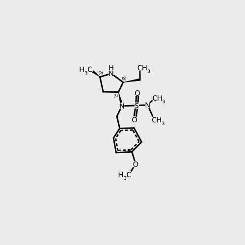 CC[C@@H]1N[C@H](C)C[C@@H]1N(Cc1ccc(OC)cc1)S(=O)(=O)N(C)C